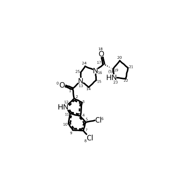 O=C(c1cc2c(Cl)c(Cl)ccc2[nH]1)N1CCN(C(=O)[C@@H]2CCCN2)CC1